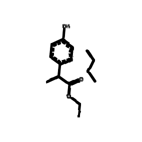 CCCC.CCOC(=O)C(C)c1ccc(O)cc1